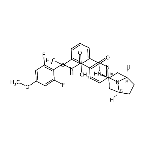 COc1cc(F)c(CNC(=O)c2ccc(N3[C@@H]4CC[C@H]3C[C@@H](NC(=O)c3cccc(OC)c3C)C4)nc2)c(F)c1